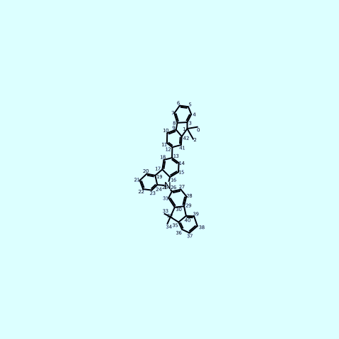 CC1(C)c2ccccc2-c2ccc(-c3ccc4c(c3)c3ccccc3n4-c3ccc4c(c3)C(C)(C)c3ccccc3-4)cc21